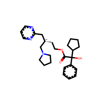 O=C(OCC[C@@H](Cc1ncccn1)CN1CCCC1)C(O)(c1ccccc1)C1CCCC1